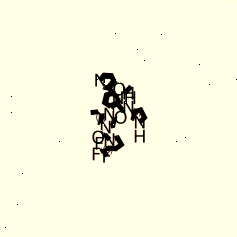 CCOC1(c2cccnc2)C=CC(N2CCN(C(=O)N3CCC[C@H]3C(F)(F)F)C[C@H]2CC)=C(C(=O)N[C@@H]2CCNC2)N1